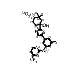 Cc1cc(Nc2nccc(C(F)(F)F)n2)cc(-c2cnc([C@]3(O)CC[C@H](C(=O)O)C(C)(C)C3)s2)c1